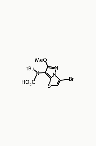 COc1nn2c(Br)csc2c1N(C(=O)O)C(C)(C)C